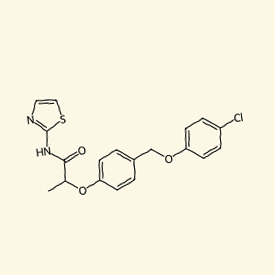 CC(Oc1ccc(COc2ccc(Cl)cc2)cc1)C(=O)Nc1nccs1